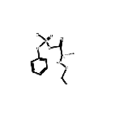 CCON[C@@H](C)C(=O)OP(=O)(Cl)Oc1ccccc1